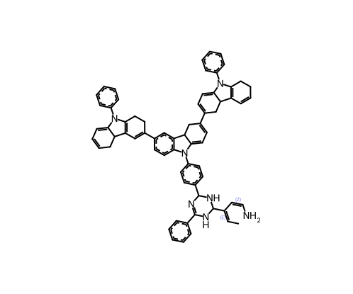 C/C=C(\C=C/N)C1NC(c2ccccc2)=NC(c2ccc(N3C4=CC=C(C5=CC=C6C(C5)C5=C(CCC=C5)N6c5ccccc5)CC4c4cc(C5=CC6=C(CC5)N(c5ccccc5)C5=CC=CCC56)ccc43)cc2)N1